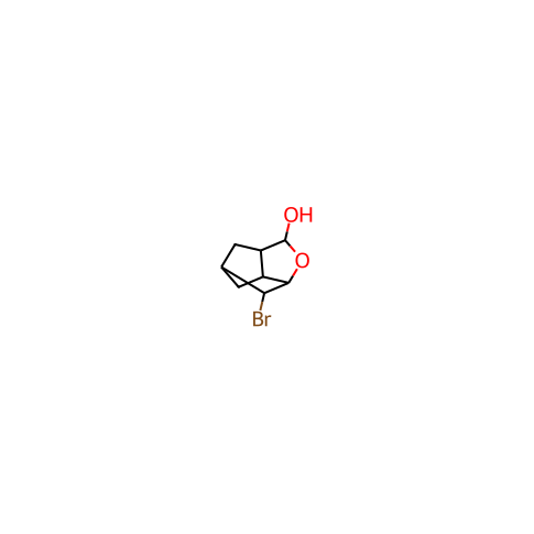 OC1OC2C(Br)C3CC1C2C3